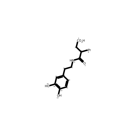 CC(C)C(CC(=O)O)C(=O)NCCc1ccc(O)c(O)c1